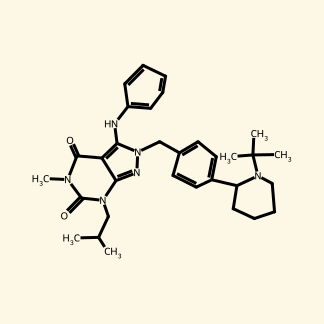 CC(C)Cn1c(=O)n(C)c(=O)c2c(Nc3ccccc3)n(Cc3ccc(C4CCCCN4C(C)(C)C)cc3)nc21